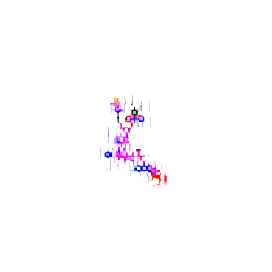 CC[C@@]1(O)C(=O)OCc2c1cc1n(c2=O)Cc2c-1nc1cc(F)c(C)cc1c2CNC(=O)[C@H](OCNC(=O)CNC(=O)[C@H](Cc1ccccc1)NC(=O)CNC(=O)CNC(=O)[C@H](CCCCNC(c1ccccc1)(c1ccccc1)c1ccc(C)cc1)NC(=O)CCCC#Cc1cnc(S(C)(=O)=O)nc1)C1CC1